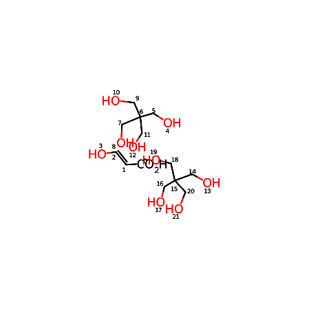 O=C(O)C=CO.OCC(CO)(CO)CO.OCC(CO)(CO)CO